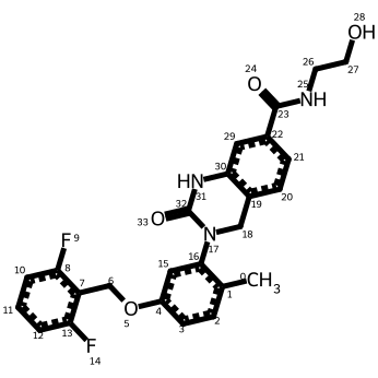 Cc1ccc(OCc2c(F)cccc2F)cc1N1Cc2ccc(C(=O)NCCO)cc2NC1=O